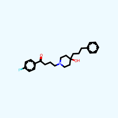 O=C(CCCN1CCC(O)(CCCc2ccccc2)CC1)c1ccc(F)cc1